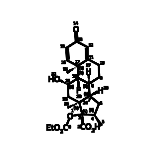 CCOC(=O)O[C@@]1(C(=O)O)[C@H](C)C[C@H]2[C@@H]3CCC4=CC(=O)C=C[C@]4(C)[C@@]3(F)[C@@H](O)C[C@@]21C